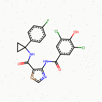 O=C(Nc1ncsc1C(=O)NC1(c2ccc(F)cc2)CC1)c1cc(Cl)c(O)c(Cl)c1